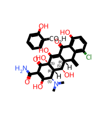 C=C1c2c(Cl)ccc(O)c2C(=O)C2=C(O)[C@]3(O)C(=O)C(C(N)=O)=C(O)[C@@H](N(C)C)[C@@H]3[C@@H](O)[C@H]12.O=C(O)c1ccccc1O